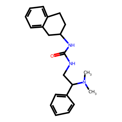 CN(C)C(CNC(=O)NC1CCc2ccccc2C1)c1ccccc1